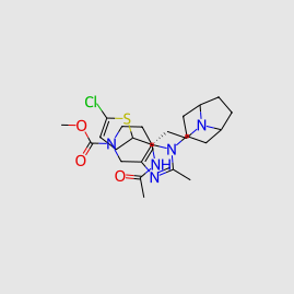 COC(=O)N1CCc2c(nc(C)n2C2CC3CCC(C2)N3CC[C@H](NC(C)=O)C2CC=C(Cl)S2)C1